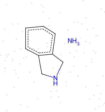 N.c1ccc2c(c1)CNC2